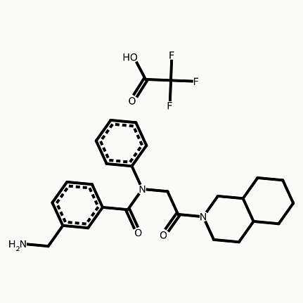 NCc1cccc(C(=O)N(CC(=O)N2CCC3CCCCC3C2)c2ccccc2)c1.O=C(O)C(F)(F)F